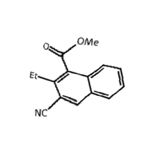 CCc1c(C#N)cc2ccccc2c1C(=O)OC